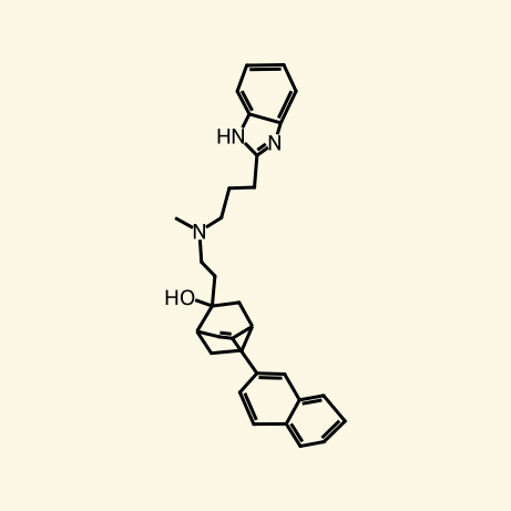 CN(CCCc1nc2ccccc2[nH]1)CCC1(O)CC2CCC1C=C2c1ccc2ccccc2c1